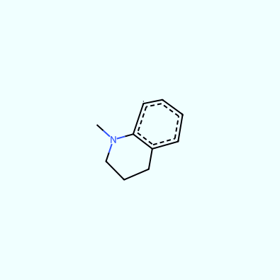 CN1CCCc2ccc[c]c21